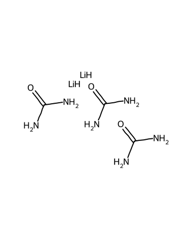 NC(N)=O.NC(N)=O.NC(N)=O.[LiH].[LiH]